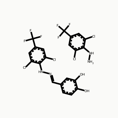 NNc1c(Cl)cc(C(F)(F)F)cc1Cl.Oc1ccc(C=NNc2c(Cl)cc(C(F)(F)F)cc2Cl)cc1O